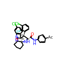 CC(=O)c1ccc(NC(=O)[C@@H]2NC3(CCCCC3)[C@@]3(C(=O)Nc4cc(Cl)ccc43)[C@H]2c2cccc(Cl)c2F)cc1